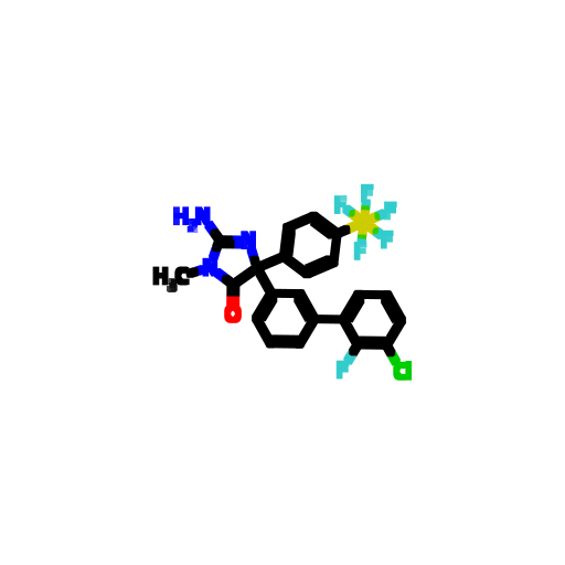 CN1C(=O)C(c2ccc(S(F)(F)(F)(F)F)cc2)(c2cccc(-c3cccc(Cl)c3F)c2)N=C1N